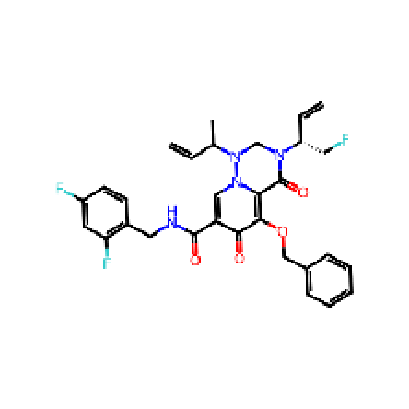 C=CC(C)N1CN([C@H](C=C)CF)C(=O)c2c(OCc3ccccc3)c(=O)c(C(=O)NCc3ccc(F)cc3F)cn21